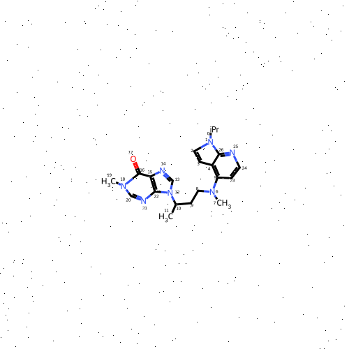 CC(C)n1ccc2c(N(C)CCC(C)n3cnc4c(=O)n(C)cnc43)ccnc21